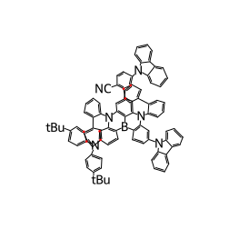 CC(C)(C)c1ccc(N(c2ccc(C(C)(C)C)cc2)c2ccc3c(c2)N(c2ccccc2-c2ccccc2)c2cc(-c4cc(-n5c6ccccc6c6ccccc65)ccc4C#N)cc4c2B3c2ccc(-n3c5ccccc5c5ccccc53)cc2N4c2ccccc2-c2ccccc2)cc1